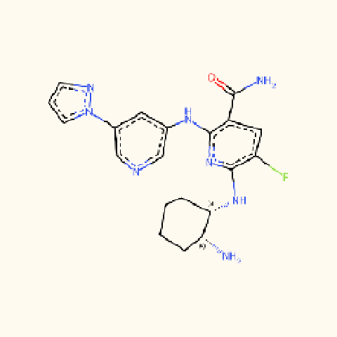 NC(=O)c1cc(F)c(N[C@H]2CCCC[C@H]2N)nc1Nc1cncc(-n2cccn2)c1